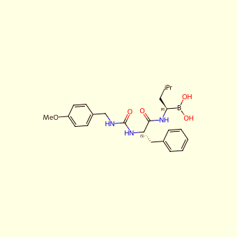 COc1ccc(CNC(=O)N[C@@H](Cc2ccccc2)C(=O)N[C@@H](CC(C)C)B(O)O)cc1